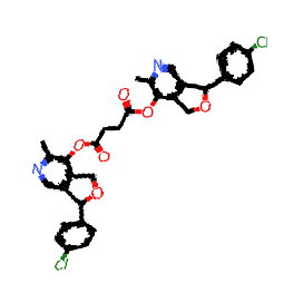 Cc1ncc2c(c1OC(=O)CCC(=O)Oc1c(C)ncc3c1COC3c1ccc(Cl)cc1)COC2c1ccc(Cl)cc1